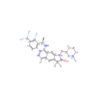 Cc1nnc(N[C@H](C)c2cccc(C(F)F)c2F)c2cc3c(cc12)C(C)(C)C(=O)N3CC1CN(C)CCO1